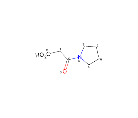 O=C(O)CC(=O)N1CCCC1